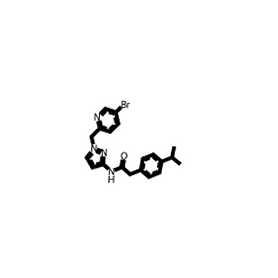 CC(C)c1ccc(CC(=O)Nc2ccn(Cc3ccc(Br)cn3)n2)cc1